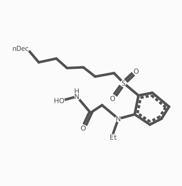 CCCCCCCCCCCCCCCCS(=O)(=O)c1ccccc1N(CC)CC(=O)NO